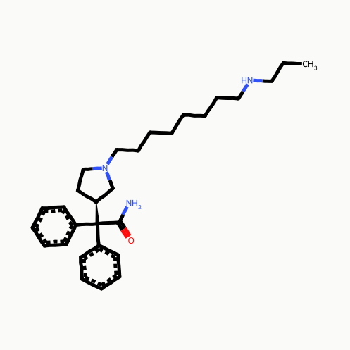 CCCNCCCCCCCCN1CC[C@H](C(C(N)=O)(c2ccccc2)c2ccccc2)C1